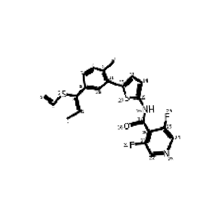 C=CS/C(=C\C)c1ccc(C)c(-c2ccc(NC(=O)c3c(F)cncc3F)s2)c1